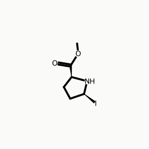 COC(=O)[C@@H]1CC[C@H](I)N1